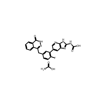 NC(=O)O.O=C(O)Nc1nc2cc(-c3cc(Cc4n[nH]c(=O)c5ccccc45)ccc3F)cnc2[nH]1